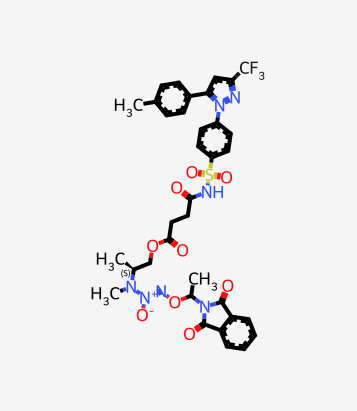 Cc1ccc(-c2cc(C(F)(F)F)nn2-c2ccc(S(=O)(=O)NC(=O)CCC(=O)OC[C@H](C)N(C)[N+]([O-])=NOC(C)N3C(=O)c4ccccc4C3=O)cc2)cc1